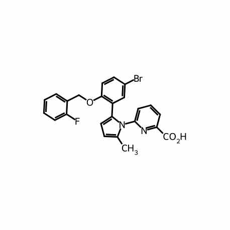 Cc1ccc(-c2cc(Br)ccc2OCc2ccccc2F)n1-c1cccc(C(=O)O)n1